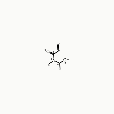 C=CC(=O)N(C)C(C)O